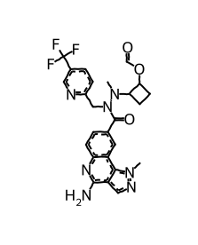 CN(C1CCC1OC=O)N(Cc1ccc(C(F)(F)F)cn1)C(=O)c1ccc2nc(N)c3cnn(C)c3c2c1